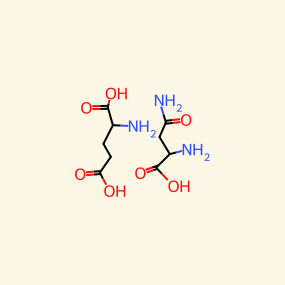 NC(=O)CC(N)C(=O)O.NC(CCC(=O)O)C(=O)O